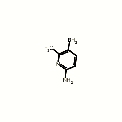 Bc1ccc(N)nc1C(F)(F)F